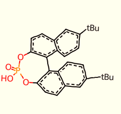 CC(C)(C)c1ccc2c3c(ccc2c1)OP(=O)(O)Oc1ccc2cc(C(C)(C)C)ccc2c1-3